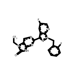 O=c1[nH]c2nc(-c3nn(Cc4ccccc4F)c4ncc(F)cc34)ncc2n1CC(F)(F)F